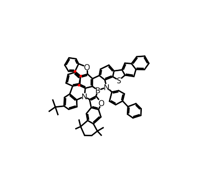 CC(C)(C)c1ccc(N2c3cc4c(oc5ccccc54)c4c3B(c3oc5cc6c(cc5c32)C(C)(C)CCC6(C)C)N(c2ccc(-c3ccccc3)cc2)c2c-4ccc3c2sc2cc4ccccc4cc23)c(-c2ccccc2)c1